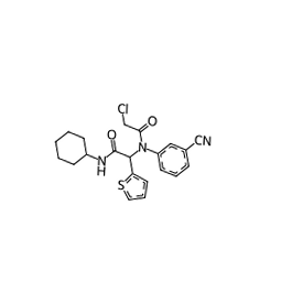 N#Cc1cccc(N(C(=O)CCl)C(C(=O)NC2CCCCC2)c2cccs2)c1